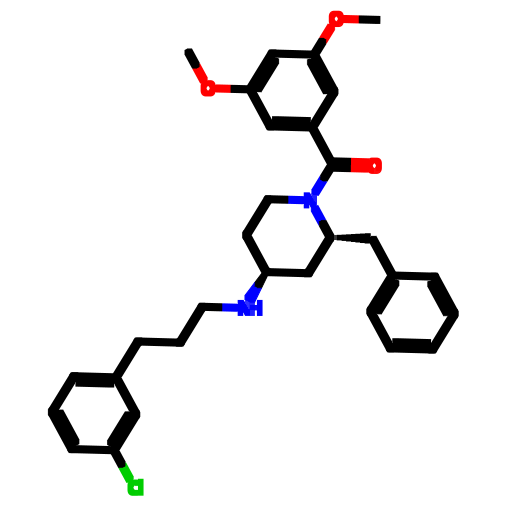 COc1cc(OC)cc(C(=O)N2CC[C@H](NCCCc3cccc(Cl)c3)C[C@H]2Cc2ccccc2)c1